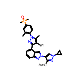 COc1nn(C2CC2)cc1-n1cc2c(-c3nn(-c4ccc(P(C)(C)=O)cc4C)c(C)c3C(C)C)cccc2n1